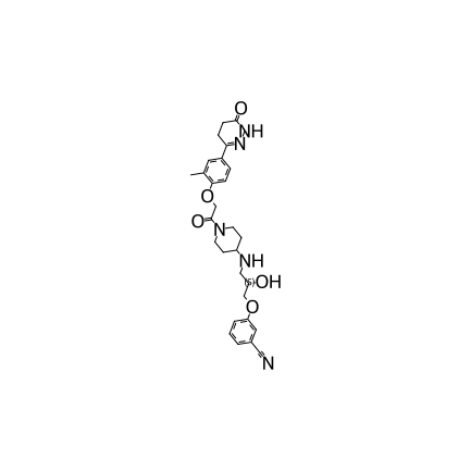 Cc1cc(C2=NNC(=O)CC2)ccc1OCC(=O)N1CCC(NC[C@H](O)COc2cccc(C#N)c2)CC1